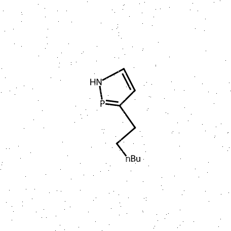 CCCCCCc1cc[nH]p1